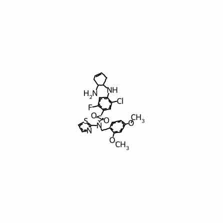 COc1ccc(CN(c2nccs2)S(=O)(=O)c2cc(Cl)c(NC3CC=CCC3N)cc2F)c(OC)c1